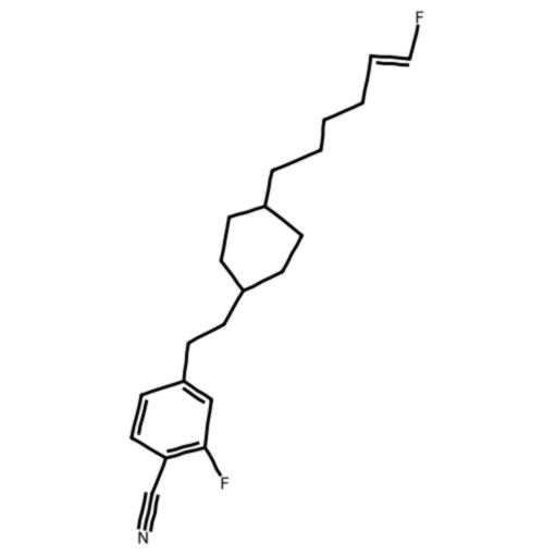 N#Cc1ccc(CCC2CCC(CCCC/C=C/F)CC2)cc1F